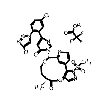 C[C@@H]1CCC[C@H](n2cnc(-c3cc(Cl)ccc3-n3cc(Cl)nn3)cc2=O)c2cc(ccn2)-c2c(cnn2S(C)(=O)=O)NC1=O.O=C(O)C(F)(F)F